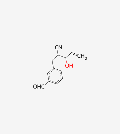 C=CC(O)C(C#N)Cc1cccc(C=O)c1